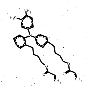 C=CC(=O)OCCCCc1ccc(N(c2ccc(C)c(C)c2)c2ccccc2CCCCOC(=O)C=C)cc1